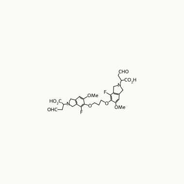 COc1cc2c(c(F)c1OCCCOc1c(OC)cc3c(c1F)CN(C(CC=O)C(=O)O)C3)CN(C(CC=O)C(=O)O)C2